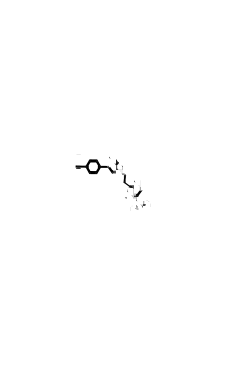 Cn1c([N+](=O)[O-])cnc1CCn1cc(-c2ccc(C(F)(F)F)cc2)nn1